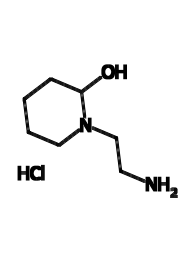 Cl.NCCN1CCCCC1O